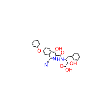 N#Cc1nc(C(=O)NC(Cc2ccccc2)C(O)C(=O)O)c(O)c2ccc(Oc3ccccc3)cc12